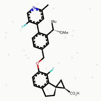 CO[C@H](c1cc(COc2ccc3c(c2F)[C@]2(CC3)C[C@H]2C(=O)O)ccc1-c1cc(C)ncc1F)C(C)(C)C